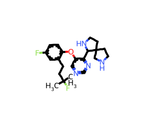 CC(C)(F)CCc1cc(F)ccc1Oc1cncnc1C1NCCC12CCNC2